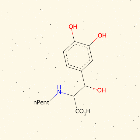 CCCCCNC(C(=O)O)C(O)c1ccc(O)c(O)c1